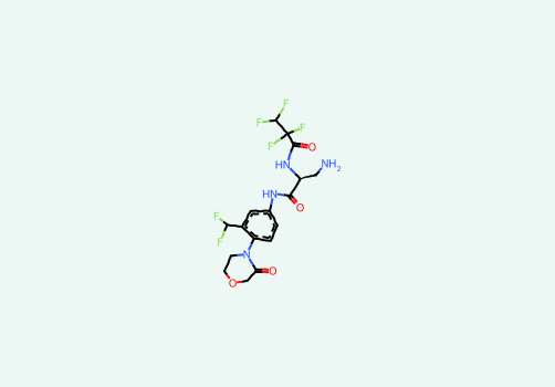 NC[C@H](NC(=O)C(F)(F)C(F)F)C(=O)Nc1ccc(N2CCOCC2=O)c(C(F)F)c1